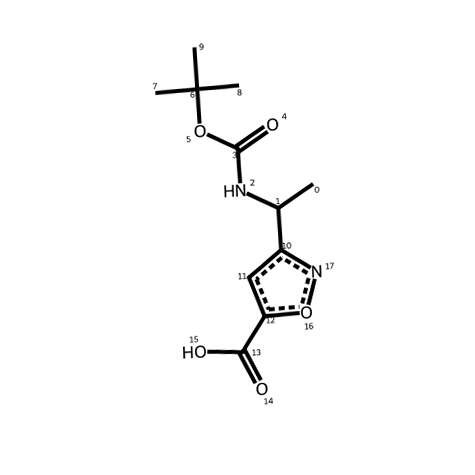 CC(NC(=O)OC(C)(C)C)c1cc(C(=O)O)on1